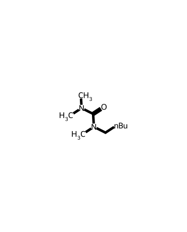 CCCCCN(C)C(=O)N(C)C